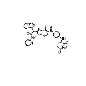 O=C1CCC(Nc2ccc(Bc3ccc4cn(C(C(=O)Nc5ccccn5)c5ncn6c5CCC6)nc4c3F)cc2)C(=O)N1